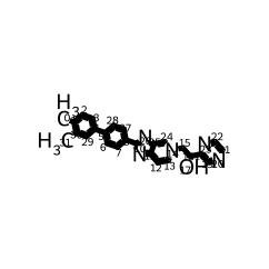 Cc1ccc(-c2ccc(-c3nc4ccn(CC(O)c5cnccn5)cc-4n3)cc2)cc1C